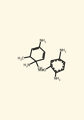 CC1C=C(N)C=CC1(C)N.COc1cc(N)ccc1N